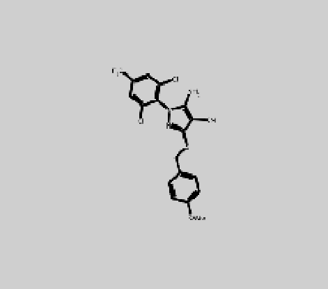 COc1ccc(CSc2nn(-c3c(Cl)cc(C(F)(F)F)cc3Cl)c(N)c2C#N)cc1